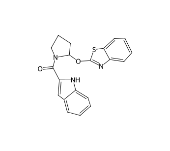 O=C(c1cc2ccccc2[nH]1)N1CCCC1Oc1nc2ccccc2s1